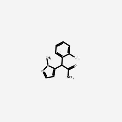 Cn1nccc1C(C(=O)NC(F)(F)F)c1ccccc1C(F)(F)F